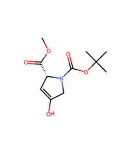 COC(=O)[C@H]1C=C(O)CN1C(=O)OC(C)(C)C